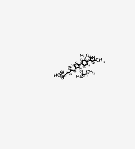 C=CC(=O)O.Cc1nc(C)c(-c2ccc(-c3cc(SC(=O)C=CCS(=O)(=O)O)cs3)cc2)s1